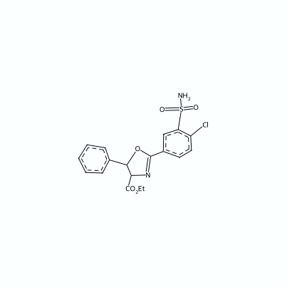 CCOC(=O)C1N=C(c2ccc(Cl)c(S(N)(=O)=O)c2)OC1c1ccccc1